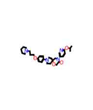 CC(C)Oc1ccc(N2CC3(CCN(c4ccc(OCCCN5CCCCC5)cc4)CC3)OCC2=O)cn1